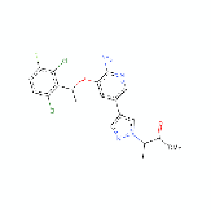 COC(=O)C(C)n1cc(-c2cnc(N)c(OC(C)c3c(Cl)ccc(F)c3Cl)c2)cn1